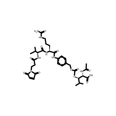 CC(=O)N[C@H](C(=O)O)[C@H](OC(=O)OCc1ccc(NC(=O)[C@H](CCCNC(N)=O)NC(=O)[C@@H](NC(=O)CCN2C(=O)C=CC2=O)C(C)C)cc1)C(C)C